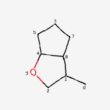 CC1COC2CCCC12